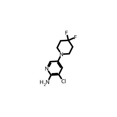 Nc1ncc(N2CCC(F)(F)CC2)cc1Cl